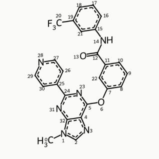 Cn1cnc2c(Oc3cccc(C(=O)Nc4cccc(C(F)(F)F)c4)c3)nc(-c3ccncc3)nc21